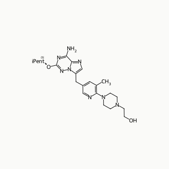 CCC[C@H](C)Oc1nc(N)c2ncc(Cc3cnc(N4CCN(CCO)CC4)c(C)c3)n2n1